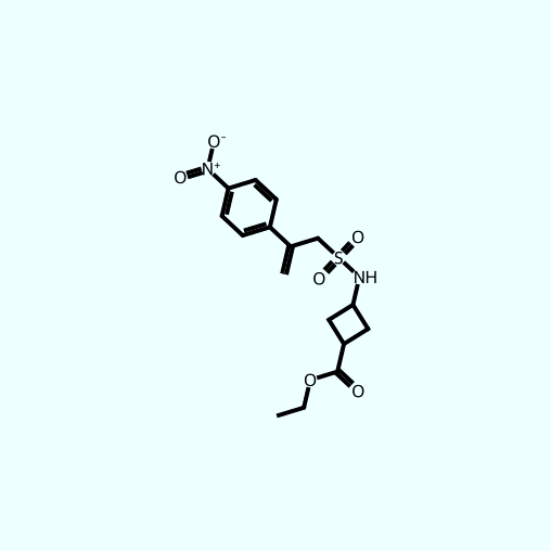 C=C(CS(=O)(=O)NC1CC(C(=O)OCC)C1)c1ccc([N+](=O)[O-])cc1